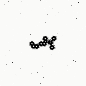 c1ccc(-c2nc(-c3ccccc3)nc(-n3c4ccccc4c4c5ccc(-c6ccc7ccc8ccccc8c7c6)cc5ccc43)n2)cc1